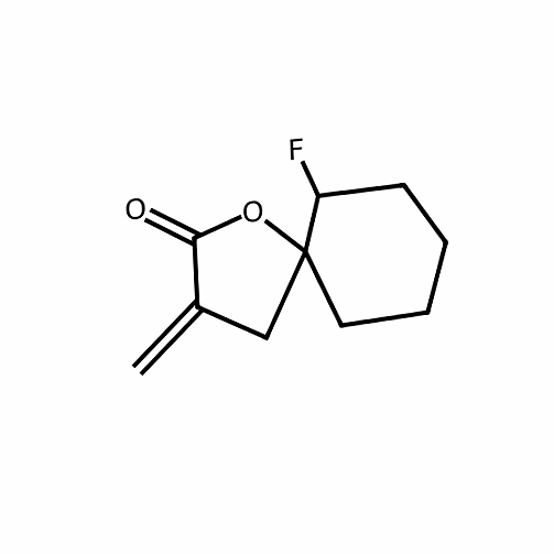 C=C1CC2(CCCCC2F)OC1=O